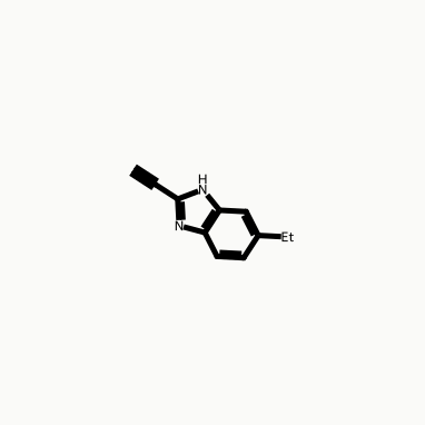 C#Cc1nc2ccc(CC)cc2[nH]1